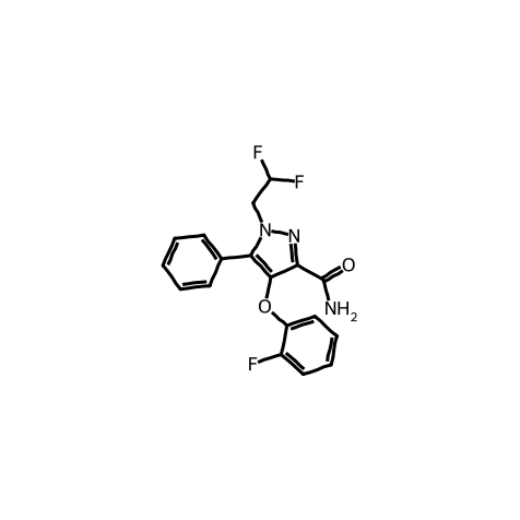 NC(=O)c1nn(CC(F)F)c(-c2ccccc2)c1Oc1ccccc1F